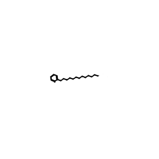 [Li][c]1ccccc1CCCCCCCCCCCCCC